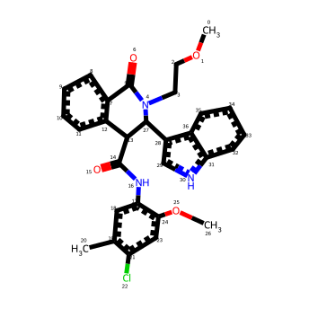 COCCN1C(=O)c2ccccc2C(C(=O)Nc2cc(C)c(Cl)cc2OC)C1c1c[nH]c2ccccc12